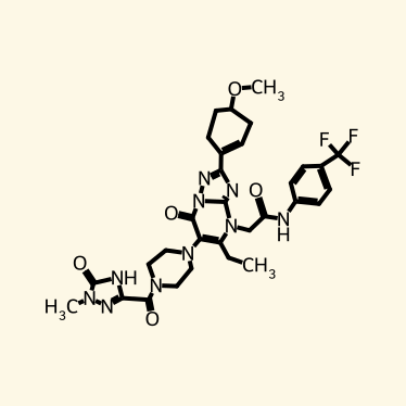 CCc1c(N2CCN(C(=O)c3nn(C)c(=O)[nH]3)CC2)c(=O)n2nc(C3=CCC(OC)CC3)nc2n1CC(=O)Nc1ccc(C(F)(F)F)cc1